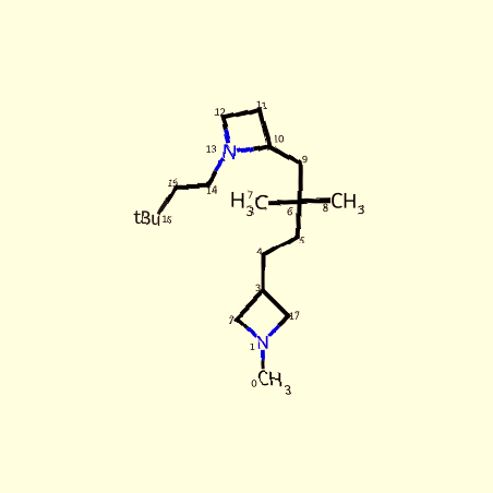 CN1CC(CCC(C)(C)CC2CCN2CCC(C)(C)C)C1